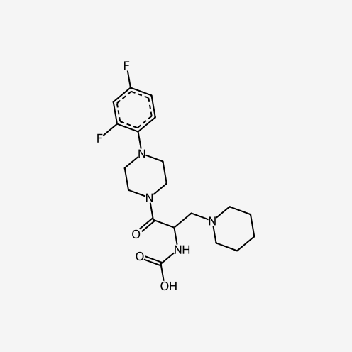 O=C(O)NC(CN1CCCCC1)C(=O)N1CCN(c2ccc(F)cc2F)CC1